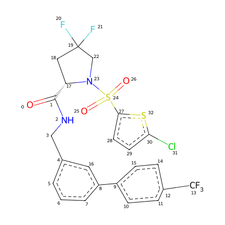 O=C(NCc1cccc(-c2ccc(C(F)(F)F)cc2)c1)[C@@H]1CC(F)(F)CN1S(=O)(=O)c1ccc(Cl)s1